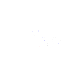 NC1CCCN(c2c(Br)cnc3[nH]cc(NC(=O)c4cccc(C(F)(F)F)c4)c23)C1